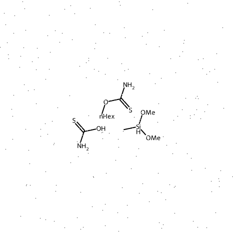 CCCCCCOC(N)=S.CO[SiH](C)OC.NC(O)=S